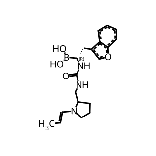 CC=CN1CCCC1CNC(=O)N[C@@H](Cc1coc2ccccc12)B(O)O